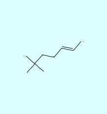 [CH2]C=CCCC([CH2])(C)C